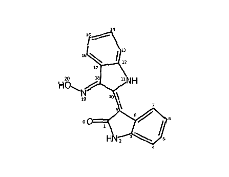 O=C1Nc2ccccc2C1=C1Nc2ccccc2C1=NO